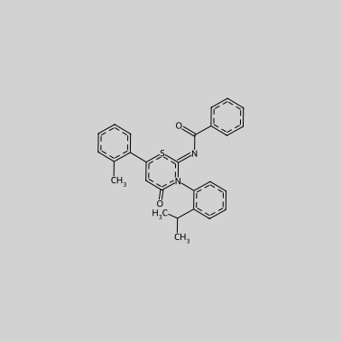 Cc1ccccc1-c1cc(=O)n(-c2ccccc2C(C)C)c(=NC(=O)c2ccccc2)s1